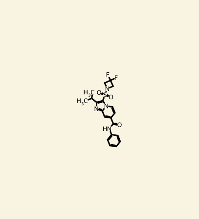 CC(C)c1nc2cc(C(=O)Nc3ccccc3)ccn2c1S(=O)(=O)N1CC(F)(F)C1